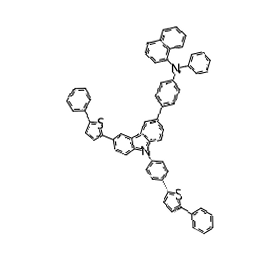 c1ccc(-c2ccc(-c3ccc(-n4c5ccc(-c6ccc(N(c7ccccc7)c7cccc8ccccc78)cc6)cc5c5cc(-c6ccc(-c7ccccc7)s6)ccc54)cc3)s2)cc1